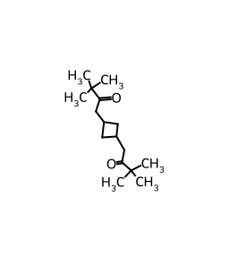 CC(C)(C)C(=O)CC1CC(CC(=O)C(C)(C)C)C1